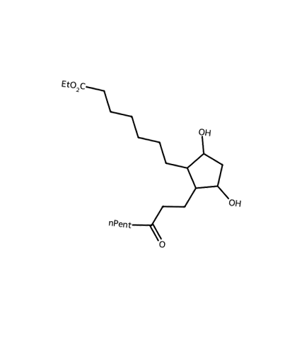 CCCCCC(=O)CCC1C(O)CC(O)C1CCCCCCC(=O)OCC